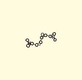 c1ccc(-n2c3ccccc3c3cc(-c4ccc5c(c4)-c4cc(-c6ccc7oc8ccc(-c9ccc%10c(c9)c9ccccc9n%10-c9ccccc9)cc8c7c6)ccc4C5)ccc32)cc1